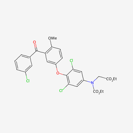 CCOC(=O)CN(C(=O)OCC)c1cc(Cl)c(Oc2ccc(OC)c(C(=O)c3cccc(Cl)c3)c2)c(Cl)c1